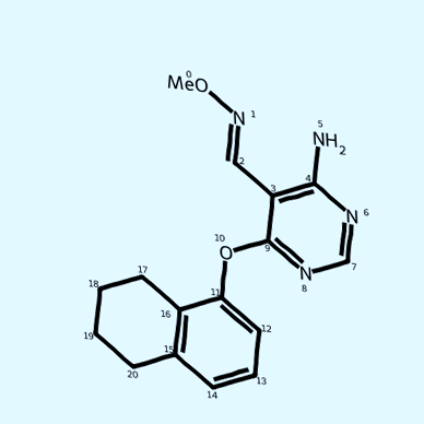 CO/N=C/c1c(N)ncnc1Oc1cccc2c1CCCC2